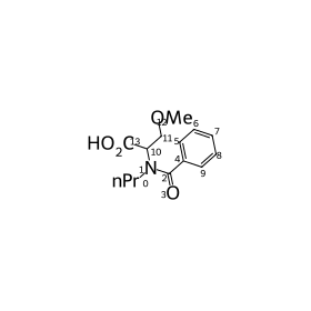 CCCN(C(=O)c1ccccc1)C(COC)C(=O)O